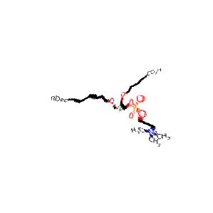 CCCCCCCCCCCCCCCCOC[C@@H](COP(=O)([O-])OCC[N+](C)(C)C)OCCCCC(=O)O